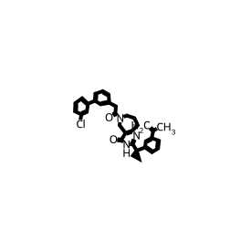 C=C(C)c1cccc(C2(c3nc4c(c(=O)[nH]3)CN(C(=O)Cc3cccc(-c5cccc(Cl)c5)c3)CCC4)CC2)c1